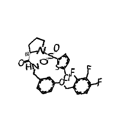 O=C(NCc1cccc(OCc2ccc(F)c(F)c2F)c1)[C@@H]1CCCN1S(=O)(=O)c1ccc(Cl)s1